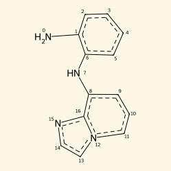 Nc1ccccc1Nc1cccn2ccnc12